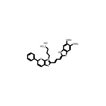 COc1cc2c(cc1OC)SC(=CC=Cc1sc3c([n+]1CCCS(=O)(=O)O)OC(c1ccccc1)C=C3)N2.[OH-]